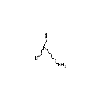 N#CCCN(CCC#N)CCCCCCN